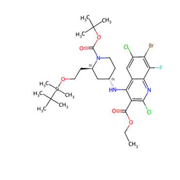 CCOC(=O)c1c(Cl)nc2c(F)c(Br)c(Cl)cc2c1N[C@H]1CCN(C(=O)OC(C)(C)C)[C@H](CCO[Si](C)(C)C(C)(C)C)C1